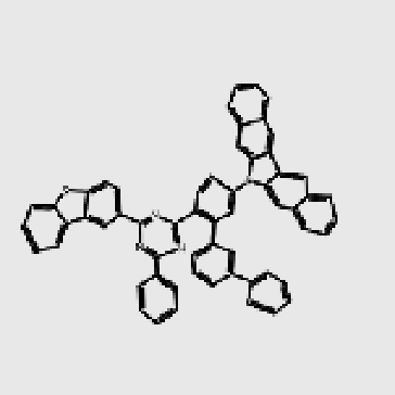 c1ccc(-c2cccc(-c3cc(-n4c5cc6ccccc6cc5c5cc6ccccc6cc54)ccc3-c3nc(-c4ccccc4)nc(-c4ccc5sc6ccccc6c5c4)n3)c2)cc1